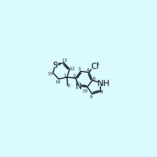 CC1(c2cc(Cl)c3[nH]ccc3n2)C=CSCC1